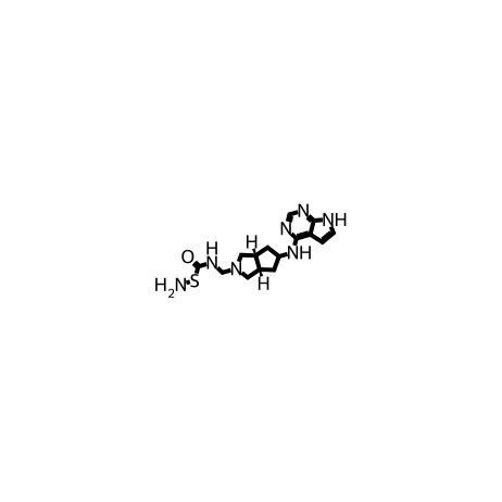 NSC(=O)NCN1C[C@H]2CC(Nc3ncnc4[nH]ccc34)C[C@H]2C1